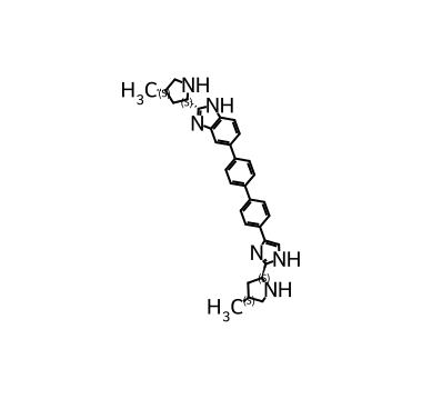 C[C@@H]1CN[C@H](c2nc(-c3ccc(-c4ccc(-c5ccc6[nH]c([C@@H]7C[C@H](C)CN7)nc6c5)cc4)cc3)c[nH]2)C1